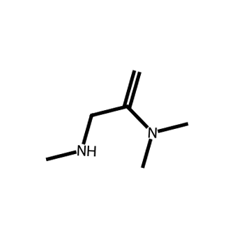 C=C(CNC)N(C)C